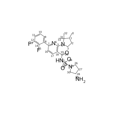 CC1CCN(c2nc(-c3cccc(F)c3F)ccc2C(=O)NS(=O)(=O)N2CC[C@H](N)C2)C1(C)C